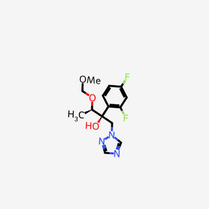 COCO[C@H](C)[C@@](O)(Cn1cncn1)c1ccc(F)cc1F